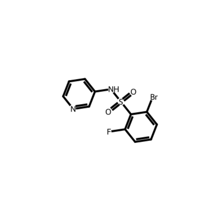 O=S(=O)(Nc1cccnc1)c1c(F)cccc1Br